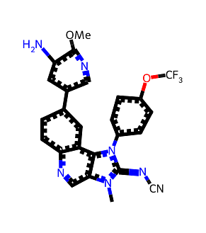 COc1ncc(-c2ccc3ncc4c(c3c2)n(-c2ccc(OC(F)(F)F)cc2)c(=NC#N)n4C)cc1N